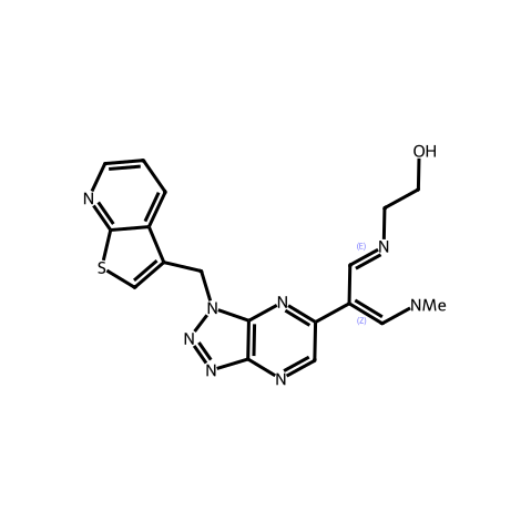 CN/C=C(\C=N\CCO)c1cnc2nnn(Cc3csc4ncccc34)c2n1